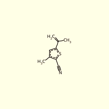 C=C(C)c1cc(C)c(C#N)s1